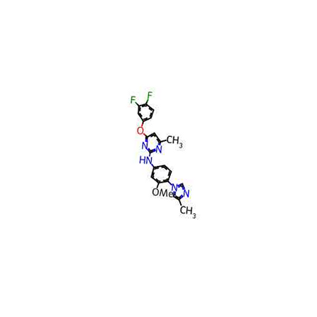 COc1cc(Nc2nc(C)cc(Oc3ccc(F)c(F)c3)n2)ccc1-n1cnc(C)c1